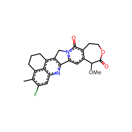 COC1C(=O)OCCc2c1cc1n(c2=O)Cc2c-1nc1cc(F)c(C)c3c1c2CCC3